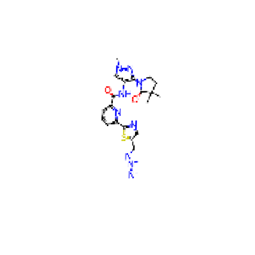 Cn1cc(NC(=O)c2cccc(-c3ncc(CN=[N+]=[N-])s3)n2)c(N2CCC(C)(C)C2=O)n1